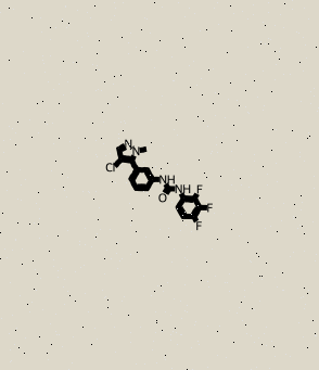 Cn1ncc(Cl)c1-c1cccc(NC(=O)Nc2ccc(F)c(F)c2F)c1